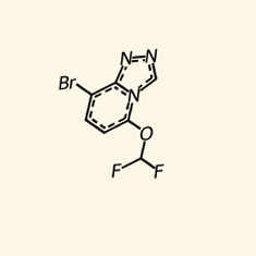 FC(F)Oc1ccc(Br)c2nncn12